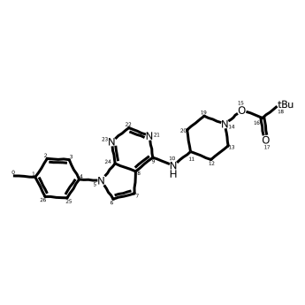 Cc1ccc(-n2ccc3c(NC4CCN(OC(=O)C(C)(C)C)CC4)ncnc32)cc1